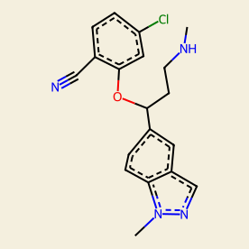 CNCCC(Oc1cc(Cl)ccc1C#N)c1ccc2c(cnn2C)c1